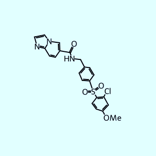 COc1ccc(S(=O)(=O)c2ccc(CNC(=O)c3ccc4nccn4c3)cc2)c(Cl)c1